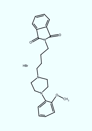 Br.COc1ccccc1N1CCN(CCCCN2C(=O)c3ccccc3C2=O)CC1